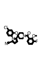 COc1c(F)cccc1C(=O)N1CCC2(CC1)Oc1cc(Cl)ccc1-n1c(C#N)ccc12